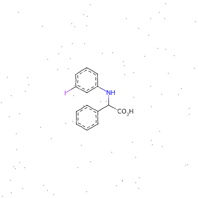 O=C(O)C(Nc1cccc(I)c1)c1ccccc1